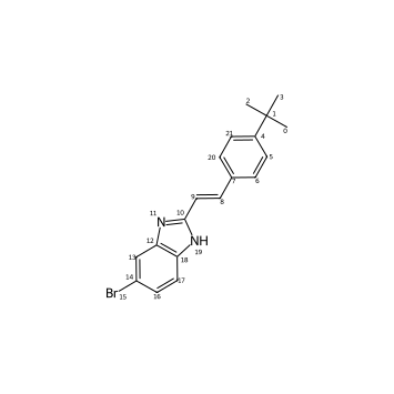 CC(C)(C)c1ccc(/C=C/c2nc3cc(Br)ccc3[nH]2)cc1